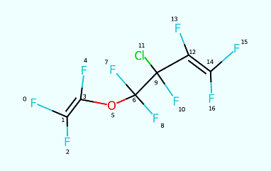 FC(F)=C(F)OC(F)(F)C(F)(Cl)C(F)=C(F)F